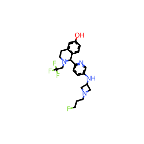 Oc1ccc2c(c1)CCN(CC(F)(F)F)C2c1ccc(NC2CN(CCCF)C2)cn1